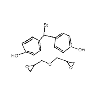 C(OCC1CO1)C1CO1.CCC(c1ccc(O)cc1)c1ccc(O)cc1